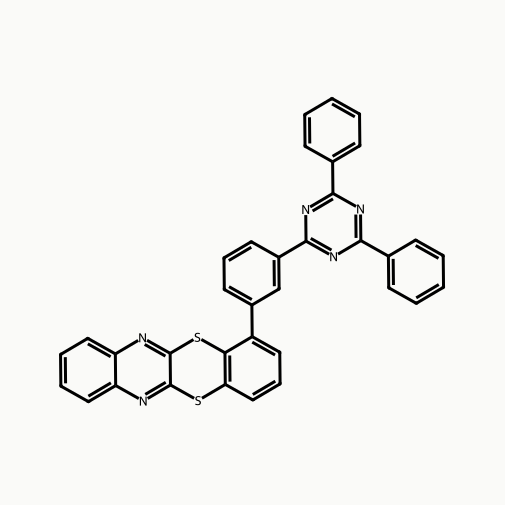 c1ccc(-c2nc(-c3ccccc3)nc(-c3cccc(-c4cccc5c4Sc4nc6ccccc6nc4S5)c3)n2)cc1